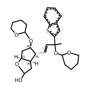 CC(/C=C/[C@@H]1[C@H]2CC(O)O[C@H]2C[C@H]1OC1CCCCO1)(OC1CCCCO1)c1cc2ccccc2s1